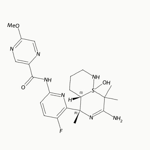 COc1cnc(C(=O)Nc2ccc(F)c([C@@]3(C)N=C(N)C(C)(C)S4(O)NCCC[C@@H]34)n2)cn1